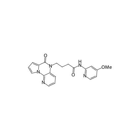 COc1ccnc(NC(=O)CCCn2c(=O)c3cccn3c3ncccc32)c1